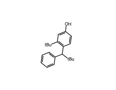 CC(C)(C)c1cc(O)ccc1C(c1ccccc1)C(C)(C)C